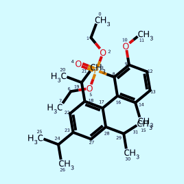 CCOP(=O)(OCC)c1c(OC)ccc(C)c1-c1c(C(C)C)cc(C(C)C)cc1C(C)C